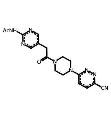 CC(=O)Nc1ncc(CC(=O)N2CCN(c3ccc(C#N)nn3)CC2)cn1